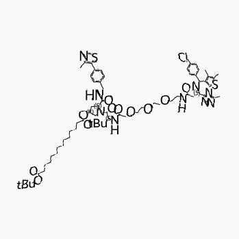 Cc1ncsc1-c1ccc(CNC(=O)[C@@H]2C[C@@H](OC(=O)CCCCCCCCCCCCC(=O)OC(C)(C)C)CN2C(=O)[C@@H](NC(=O)COCCOCCOCCNC(=O)C[C@@H]2N=C(c3ccc(Cl)cc3)c3c(sc(C)c3C)-n3c(C)nnc32)C(C)(C)C)cc1